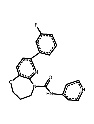 O=C(Nc1ccncc1)N1CCCOc2ccc(-c3cccc(F)c3)nc21